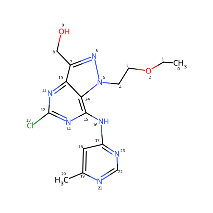 CCOCCn1nc(CO)c2nc(Cl)nc(Nc3cc(C)ncn3)c21